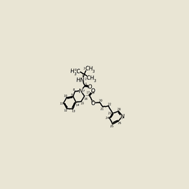 CC(C)(C)NC(=O)N1Cc2ccccc2C[C@H]1C(=O)OCCCc1cccnc1